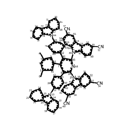 Cc1cc(C)cc(-c2c(-c3ccc(-n4c5ccccc5c5ccccc54)cc3)c(-n3c4ccc(C#N)cc4c4cc(C#N)ccc43)nc(-n3c4ccc(C#N)cc4c4cc(C#N)ccc43)c2-c2ccc(-n3c4ccccc4c4ccccc43)cc2)c1